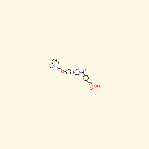 CC1CCCN1CCCOc1ccc(N2CCN(C(=O)c3ccc(/C=C/C(=O)O)cc3)CC2)cc1